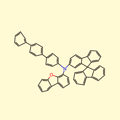 c1ccc(-c2ccc(-c3ccc(N(c4ccc5c(c4)C4(c6ccccc6-c6ccccc64)c4ccccc4-5)c4cccc5c4oc4ccccc45)cc3)cc2)cc1